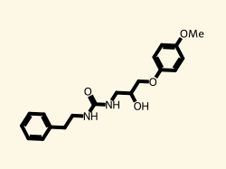 COc1ccc(OCC(O)CNC(=O)NCCc2ccccc2)cc1